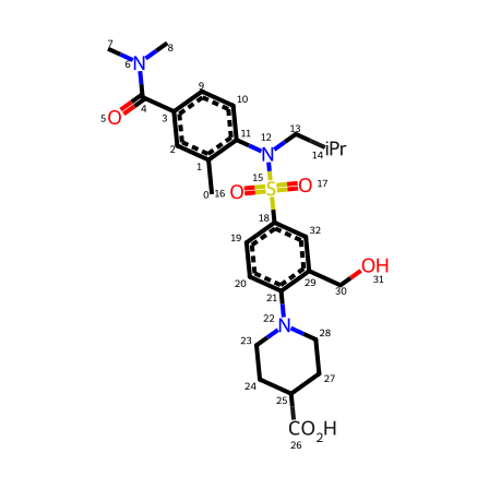 Cc1cc(C(=O)N(C)C)ccc1N(CC(C)C)S(=O)(=O)c1ccc(N2CCC(C(=O)O)CC2)c(CO)c1